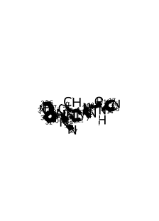 CC(C)C1CN(c2cnc(C(=O)Nc3ccncc3)cn2)CCN1/C(=N\C#N)Nc1cccc2ncccc12